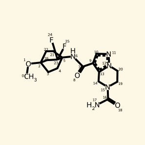 COC12CCC(NC(=O)c3cnn4c3CN(C(N)=O)CC4)(CC1)C(F)(F)C2